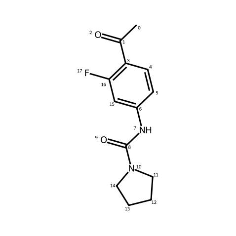 CC(=O)c1ccc(NC(=O)N2CCCC2)cc1F